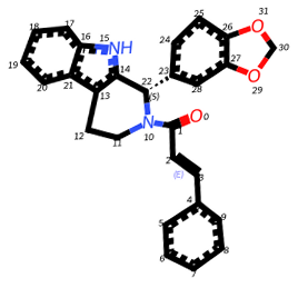 O=C(/C=C/c1ccccc1)N1CCc2c([nH]c3ccccc23)[C@@H]1c1ccc2c(c1)OCO2